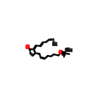 CC/C=C\C/C=C/C=C1/C(=O)C=C[C@@H]1C/C=C\CCCCO[Si](C)(C)C(C)(C)C